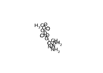 CC(=O)Oc1ccccc1C(=O)Oc1ccccc1C(=O)OCc1ccc2nc(N)nc(N)c2c1C